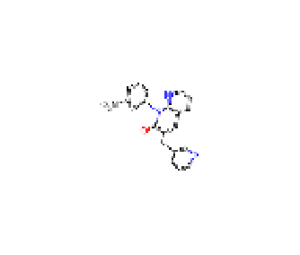 O=c1c(Cc2cccnc2)cc2cccnc2n1-c1cccc([N+](=O)[O-])c1